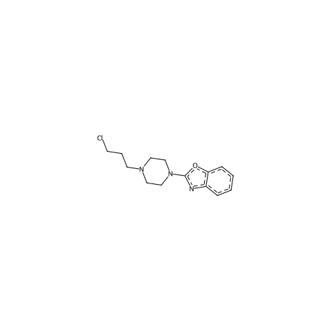 ClCCCN1CCN(c2nc3ccccc3o2)CC1